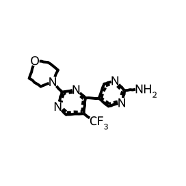 Nc1ncc(-c2nc(N3CCOCC3)ncc2C(F)(F)F)cn1